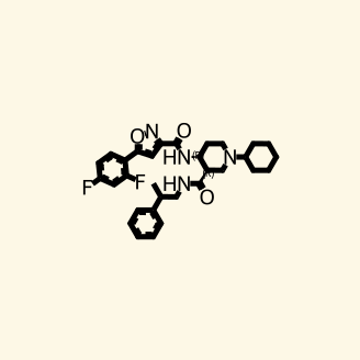 CC(CNC(=O)[C@@H]1CN(C2CCCCC2)CC[C@H]1NC(=O)c1cc(-c2ccc(F)cc2F)on1)c1ccccc1